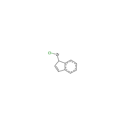 [Cl][Zr][CH]1C=Cc2ccccc21